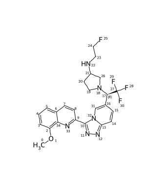 COc1cccc2ccc(-c3nnc4ccc([C@@H](N5CCC(NCCF)C5)C(F)(F)F)cn34)nc12